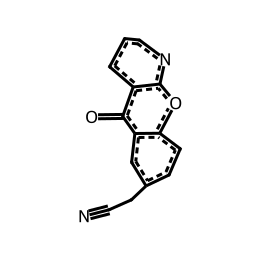 N#CCc1ccc2oc3ncccc3c(=O)c2c1